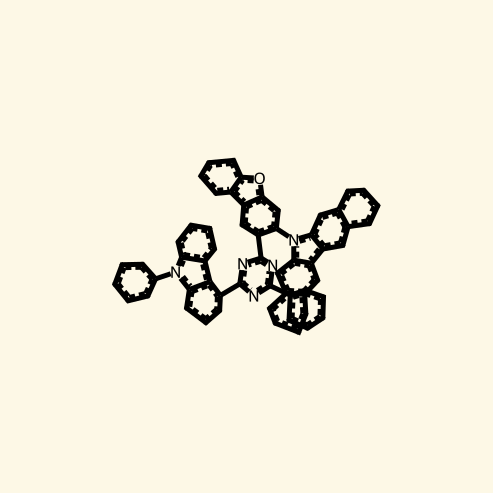 c1ccc(-c2nc(-c3cc4c(cc3-n3c5cc6ccccc6cc5c5cc6ccccc6cc53)oc3ccccc34)nc(-c3cccc4c3c3ccccc3n4-c3ccccc3)n2)cc1